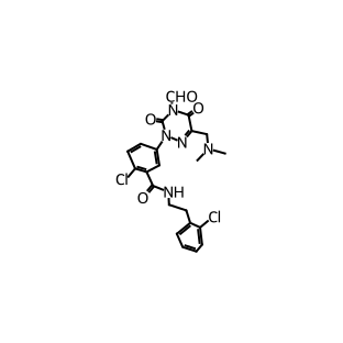 CN(C)Cc1nn(-c2ccc(Cl)c(C(=O)NCCc3ccccc3Cl)c2)c(=O)n(C=O)c1=O